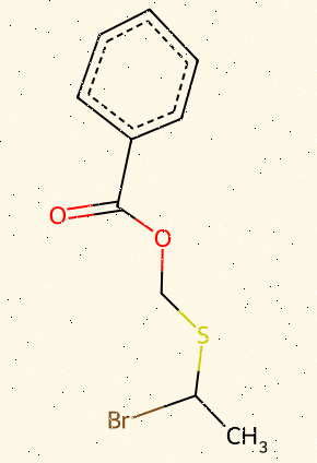 CC(Br)SCOC(=O)c1ccccc1